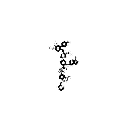 C[C@@H]1CN(c2ccc(C(=O)NS(=O)(=O)c3ccc(NCC4COCCO4)c([N+](=O)[O-])c3)c(Oc3cnc4[nH]ccc4c3)c2)CCN1CC1=C(c2ccc(Cl)cc2)CC(C)(C)CC1